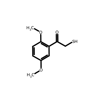 COc1ccc(OC)c(C(=O)CS)c1